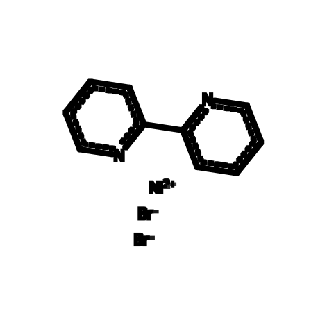 [Br-].[Br-].[Ni+2].c1ccc(-c2ccccn2)nc1